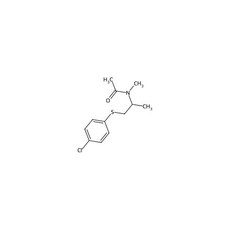 CC(=O)N(C)C(C)CSc1ccc(Cl)cc1